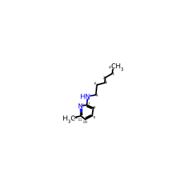 CCCCCCNc1cccc(C)n1